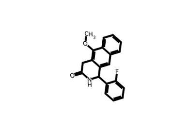 COc1c2c(cc3ccccc13)C(c1ccccc1F)NC(=O)C2